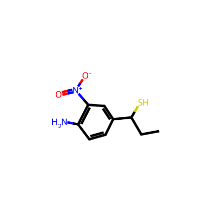 CCC(S)c1ccc(N)c([N+](=O)[O-])c1